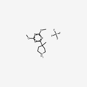 COc1nc(OC)nc(C2(C)CC[NH2+]CC2)n1.F[B-](F)(F)F